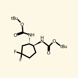 CC(C)(C)OC(=O)N[C@H]1CCC(F)(F)C[C@@H]1NC(=O)OC(C)(C)C